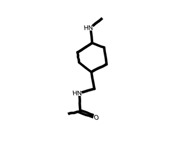 CNC1CCC(CNC(C)=O)CC1